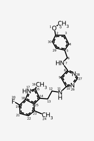 COc1ccc(CNc2cc(NCCc3c(C)[nH]c4c(F)ccc(C)c34)ncn2)cc1